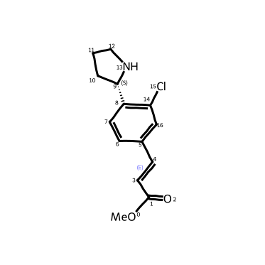 COC(=O)/C=C/c1ccc([C@@H]2CCCN2)c(Cl)c1